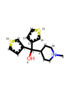 CN1CCC(C(O)(c2ccsc2)c2ccsc2)CC1